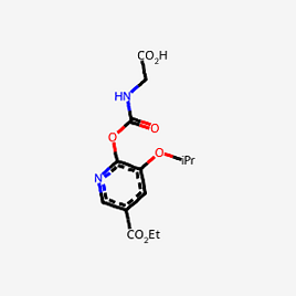 CCOC(=O)c1cnc(OC(=O)NCC(=O)O)c(OC(C)C)c1